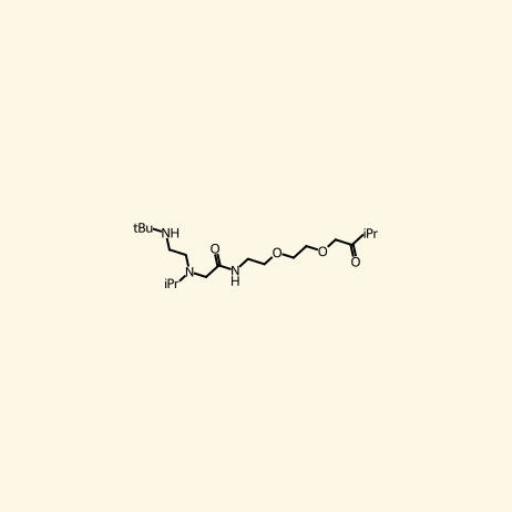 CC(C)C(=O)COCCOCCNC(=O)CN(CCNC(C)(C)C)C(C)C